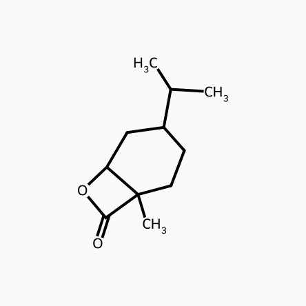 CC(C)C1CCC2(C)C(=O)OC2C1